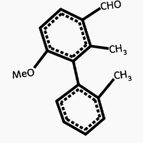 COc1ccc(C=O)c(C)c1-c1ccccc1C